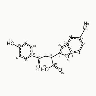 N#Cc1ccc2oc(C(CC(=O)c3ccc(O)cc3)C(=O)O)cc2c1